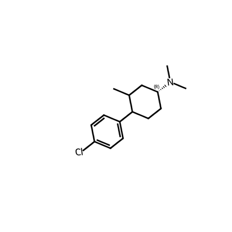 CC1C[C@H](N(C)C)CCC1c1ccc(Cl)cc1